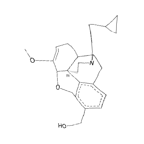 COC1=CCC2C3Cc4ccc(CO)c5c4[C@@]2(CCN3CC2CC2)C1O5